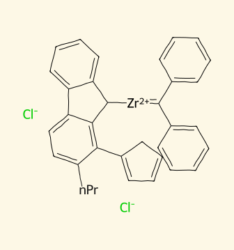 CCCc1ccc2c(c1C1=CC=CC1)[CH]([Zr+2]=[C](c1ccccc1)c1ccccc1)c1ccccc1-2.[Cl-].[Cl-]